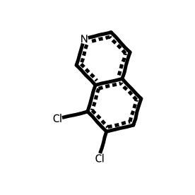 Clc1ccc2ccncc2c1Cl